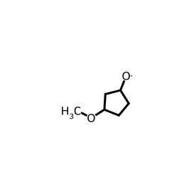 COC1CCC([O])C1